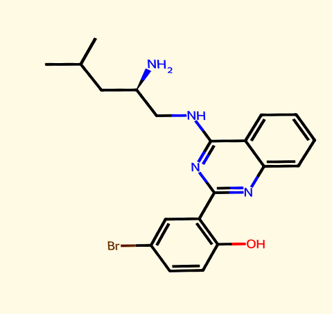 CC(C)C[C@@H](N)CNc1nc(-c2cc(Br)ccc2O)nc2ccccc12